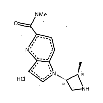 CNC(=O)c1ccc2c(ccn2[C@H]2CN[C@@H]2C)n1.Cl